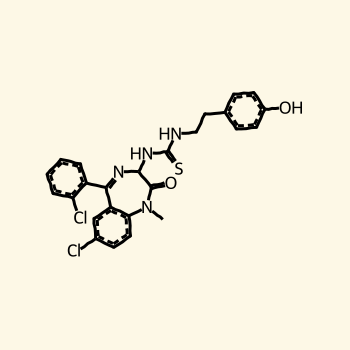 CN1C(=O)C(NC(=S)NCCc2ccc(O)cc2)N=C(c2ccccc2Cl)c2cc(Cl)ccc21